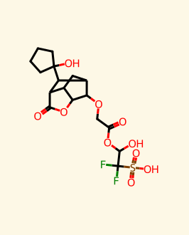 O=C(COC1C2CC3C1OC(=O)C3C2C1(O)CCCC1)OC(O)C(F)(F)S(=O)(=O)O